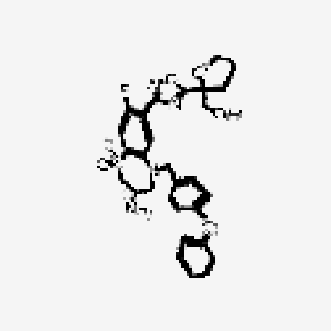 N[C@@H]1CN(Cc2ccc(Oc3ccccc3)cc2)c2cc(-c3noc(C4(CO)CCCO4)n3)c(F)cc2S(=O)(=O)C1